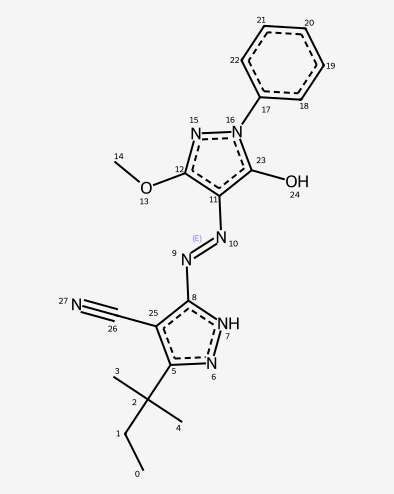 CCC(C)(C)c1n[nH]c(/N=N/c2c(OC)nn(-c3ccccc3)c2O)c1C#N